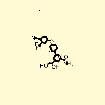 N#Cc1ccc(Oc2ccc(-c3cc([C@@H](O)CO)cc(C(N)=O)n3)cc2)cc1C(F)(F)F